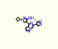 Cn1cc(-c2cn3nccc3c(-c3cn(C4CCC4)nc3N)n2)cn1